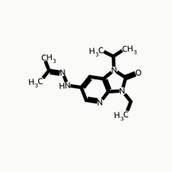 CCn1c(=O)n(C(C)C)c2cc(NN=C(C)C)cnc21